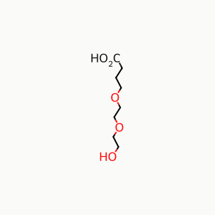 O=C(O)CCCOCCOCCO